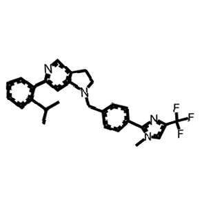 CC(C)c1ccccc1-c1cc2c(cn1)CCN2Cc1ccc(-c2nc(C(F)(F)F)cn2C)cc1